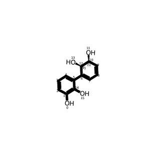 Oc1cccc(C2=CC=C[C@H](O)[C@@H]2O)c1O